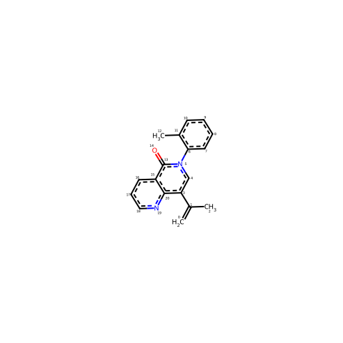 C=C(C)c1cn(-c2ccccc2C)c(=O)c2cccnc12